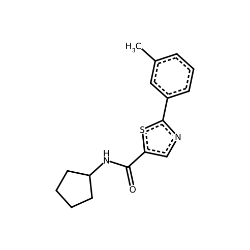 Cc1cccc(-c2ncc(C(=O)NC3CCCC3)s2)c1